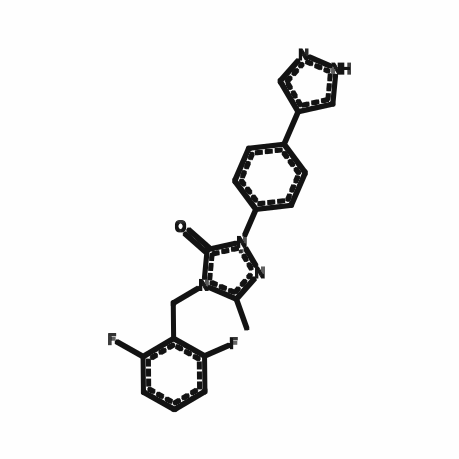 Cc1nn(-c2ccc(-c3cn[nH]c3)cc2)c(=O)n1Cc1c(F)cccc1F